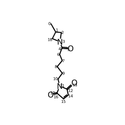 CC1CN(C(=O)CCCCCN2C(=O)C=CC2=O)C1